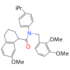 COc1ccc2c(c1)C(C(=O)N(Cc1cccc(OC)c1OC)c1ccc(C(C)C)cc1)CCC2